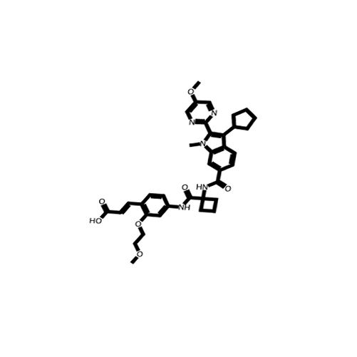 COCCOc1cc(NC(=O)C2(NC(=O)c3ccc4c(C5CCCC5)c(-c5ncc(OC)cn5)n(C)c4c3)CCC2)ccc1/C=C/C(=O)O